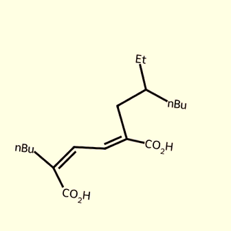 CCCCC(=CC=C(CC(CC)CCCC)C(=O)O)C(=O)O